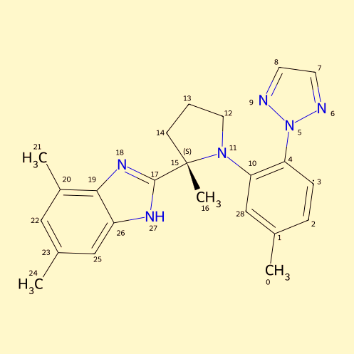 Cc1c[c]c(-n2nccn2)c(N2CCC[C@@]2(C)c2nc3c(C)cc(C)cc3[nH]2)c1